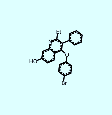 CCc1nc2cc(O)ccc2c(Oc2ccc(Br)cc2)c1-c1ccccc1